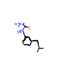 CC(C)Cc1cccc(NC(N)=O)c1